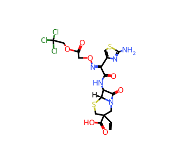 C=CC1(C(=O)O)CS[C@@H]2C(NC(=O)C(=NOCC(=O)OCC(Cl)(Cl)Cl)c3csc(N)n3)C(=O)N2C1